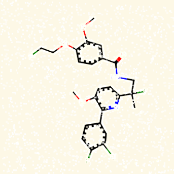 COc1cc(C(=O)NCC(C)(F)c2ccc(OC)c(-c3ccc(F)c(Cl)c3)n2)ccc1OCCF